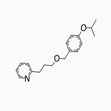 CC(C)Oc1ccc(COCCCc2ccccn2)cc1